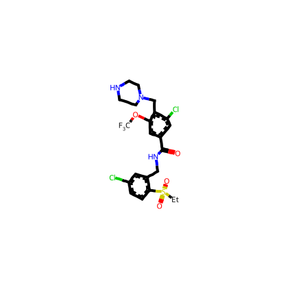 CCS(=O)(=O)c1ccc(Cl)cc1CNC(=O)c1cc(Cl)c(CN2CCNCC2)c(OC(F)(F)F)c1